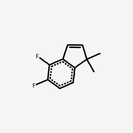 CC1(C)C=Cc2c1ccc(F)c2F